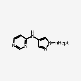 CCCCCCCn1cc(Nc2ccncn2)cn1